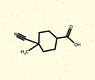 CC1(C#N)CCC(C(=O)O)CC1